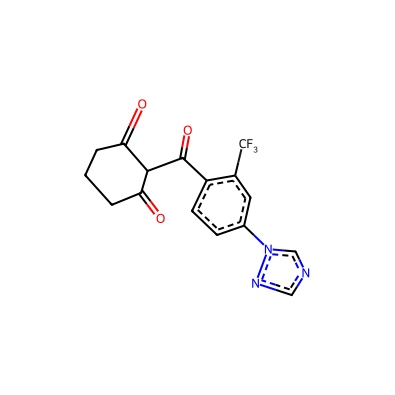 O=C1CCCC(=O)C1C(=O)c1ccc(-n2cncn2)cc1C(F)(F)F